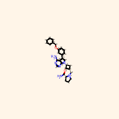 NC(=O)[C@H]1CCCN1C[C@H]1C[C@@H](n2cc(-c3cccc(OCc4ccccc4)c3)c3c(N)ncnc32)C1